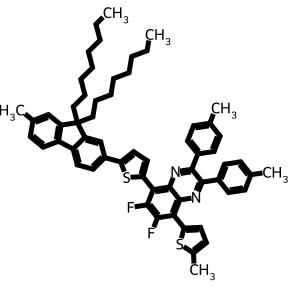 CCCCCCCCC1(CCCCCCCC)c2cc(C)ccc2-c2ccc(-c3ccc(-c4c(F)c(F)c(-c5ccc(C)s5)c5nc(-c6ccc(C)cc6)c(-c6ccc(C)cc6)nc45)s3)cc21